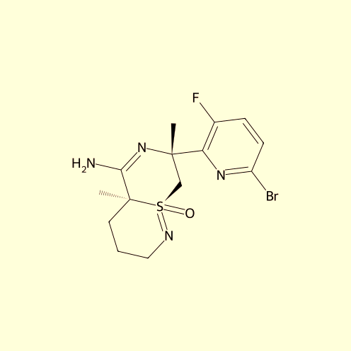 C[C@@]12CCCN=[S@]1(=O)C[C@@](C)(c1nc(Br)ccc1F)N=C2N